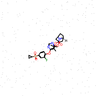 Cc1c(Oc2ccc(S(=O)(=O)C3CC3)cc2F)ncnc1OC1CC2CC[C@@H](C1)N2C(=O)OC(C)(C)C